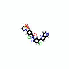 O=C(Nc1ccc(Cl)c(-c2ccc3cnccc3n2)c1)c1ccc(N2CCCS2(=O)=O)cc1Cl